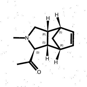 CC(=O)[C@@H]1[C@@H]2[C@H](CN1C)[C@@H]1C=C[C@H]2C1